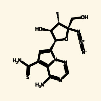 C[C@H]1[C@H](O)[C@H](c2cc(C(N)=S)c3c(N)ncnn23)O[C@@]1(CO)N=[N+]=[N-]